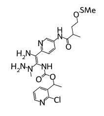 CSOCCC(C)C(=O)Nc1ccc(/C(N)=C(\NC(=O)OC(C)c2cccnc2Cl)N(C)N)nc1